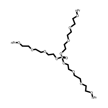 CCCOCCOCCOCCOP(=O)(OCCOCCOCCOCCC)OCCOCCOCCOCCC